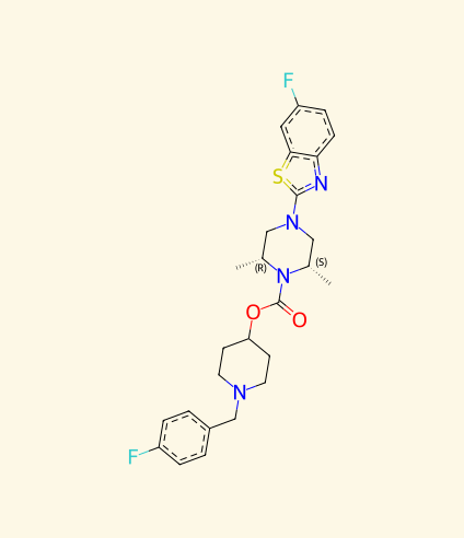 C[C@@H]1CN(c2nc3ccc(F)cc3s2)C[C@H](C)N1C(=O)OC1CCN(Cc2ccc(F)cc2)CC1